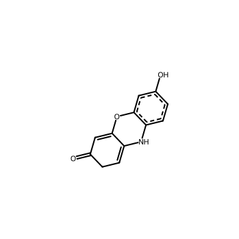 O=C1C=C2Oc3cc(O)ccc3NC2=CC1